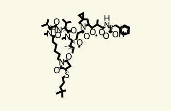 CC[C@H](C)[C@@H](C(CC(=O)N1CC2(CC2)CC1C(OC)C(C)C(=O)N[C@@H](Cc1ccccc1)C(=O)O)OC)N(C)C(=O)[C@@H](NC(=O)[C@H](C(C)C)N(C)C(=O)CCCCCN1C(=O)CC(SCCCC(C)(C)C)C1=O)C(C)C